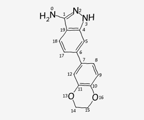 Nc1n[nH]c2cc(-c3ccc4c(c3)OCCO4)ccc12